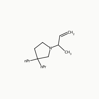 C=CC(C)N1CCC(CCC)(CCC)C1